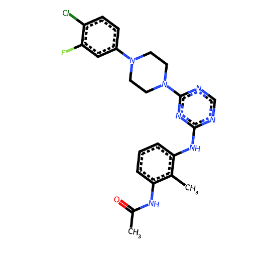 CC(=O)Nc1cccc(Nc2ncnc(N3CCN(c4ccc(Cl)c(F)c4)CC3)n2)c1C